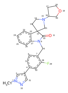 Cn1cc(-c2ccc(CN3C(=O)C4(CCN(C5CCOC5)C4)c4ccccc43)c(F)c2)cn1